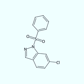 O=S(=O)(c1ccccc1)n1ncc2ccc(Cl)cc21